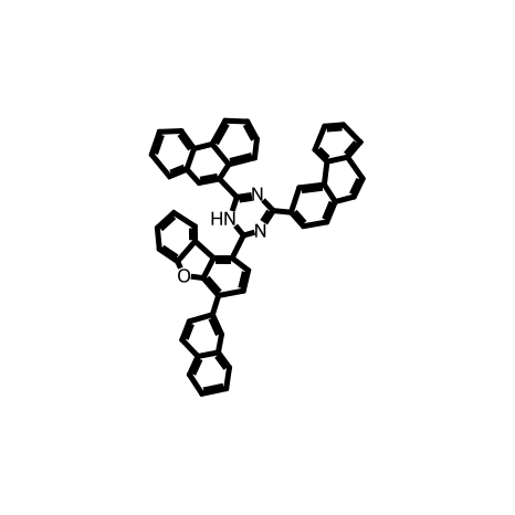 c1ccc2cc(-c3ccc(C4N=C(c5ccc6ccc7ccccc7c6c5)N=C(c5cc6ccccc6c6ccccc56)N4)c4c3oc3ccccc34)ccc2c1